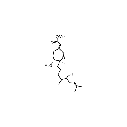 COC(=O)/C=C1\CC[C@@H](OC(C)=O)[C@](C)(CCCC(C)C(O)CC=C(C)C)OC1